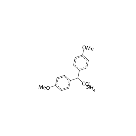 COc1ccc(C(c2ccc(OC)cc2)C(Cl)(Cl)Cl)cc1.[SiH4]